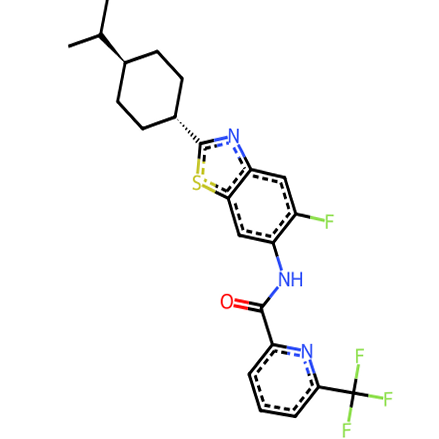 CC(C)[C@H]1CC[C@H](c2nc3cc(F)c(NC(=O)c4cccc(C(F)(F)F)n4)cc3s2)CC1